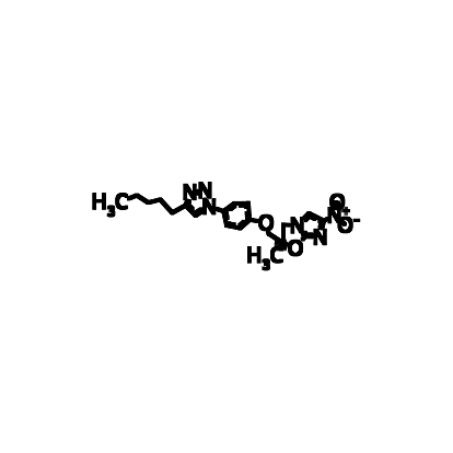 CCCCCc1cn(-c2ccc(OC[C@@]3(C)Cn4cc([N+](=O)[O-])nc4O3)cc2)nn1